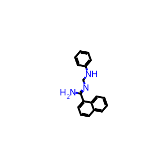 NC(=NCNc1ccccc1)c1cccc2ccccc12